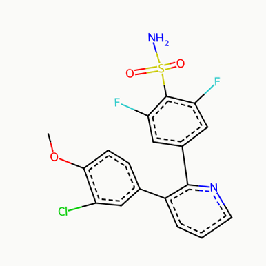 COc1ccc(-c2cccnc2-c2cc(F)c(S(N)(=O)=O)c(F)c2)cc1Cl